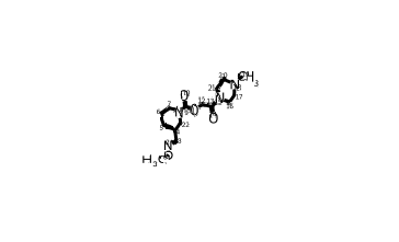 CON=CC1=CCCN(C(=O)OCC(=O)N2CCN(C)CC2)C1